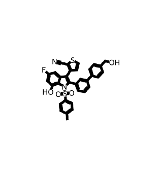 Cc1ccc(S(=O)(=O)n2c(-c3cccc(-c4ccc(CO)cc4)c3)c(-c3ccsc3C#N)c3cc(F)cc(O)c32)cc1